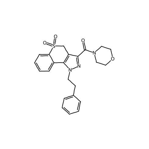 O=C(c1nn(CCc2ccccc2)c2c1CS(=O)(=O)c1ccccc1-2)N1CCOCC1